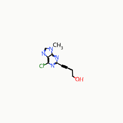 Cn1cnc2c(Cl)nc(C#CCCO)nc21